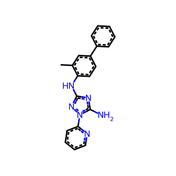 Cc1cc(-c2ccccc2)ccc1Nc1nc(N)n(-c2ccccn2)n1